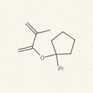 C=C(C)C(=C)OC1(C(C)C)CCCC1